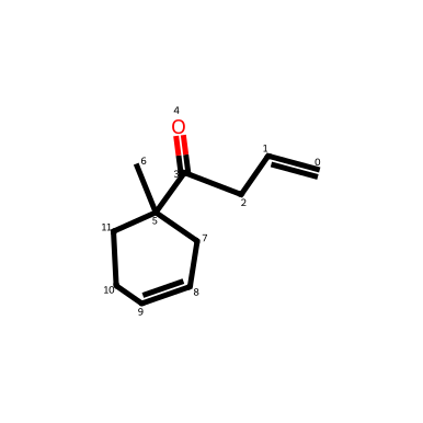 C=CCC(=O)C1(C)CC=CCC1